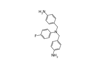 Nc1ccc(CN(Cc2ccc(N)cc2)c2ccc(F)cc2)cc1